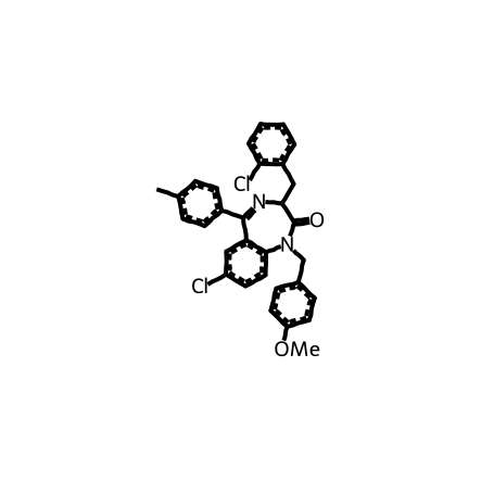 COc1ccc(CN2C(=O)C(Cc3ccccc3Cl)N=C(c3ccc(C)cc3)c3cc(Cl)ccc32)cc1